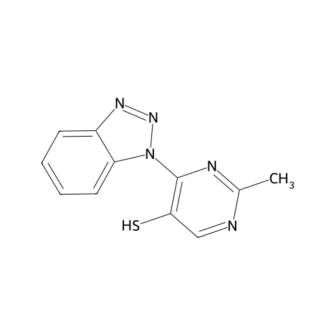 Cc1ncc(S)c(-n2nnc3ccccc32)n1